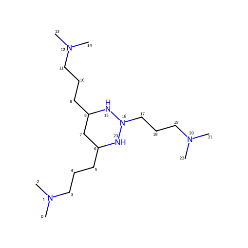 CN(C)CCCC1CC(CCCN(C)C)NN(CCCN(C)C)N1